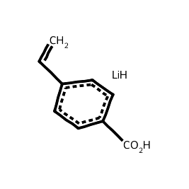 C=Cc1ccc(C(=O)O)cc1.[LiH]